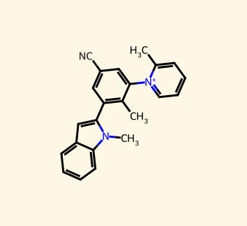 Cc1c(-c2cc3ccccc3n2C)cc(C#N)cc1-[n+]1ccccc1C